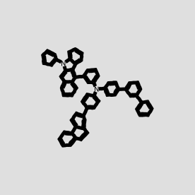 c1ccc(-c2cccc(-c3ccc(N(c4ccc(-c5ccc6c(ccc7ccccc76)c5)cc4)c4cccc(-c5c6ccccc6cc6c5c5ccccc5n6-c5ccccc5)c4)cc3)c2)cc1